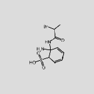 CC(Br)C(=O)NC1(N)C=CC=CC1S(=O)(=O)O